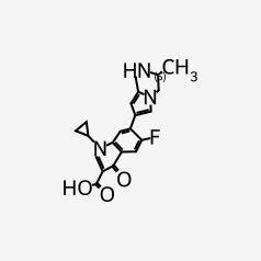 C[C@H]1Cn2cc(-c3cc4c(cc3F)c(=O)c(C(=O)O)cn4C3CC3)cc2CN1